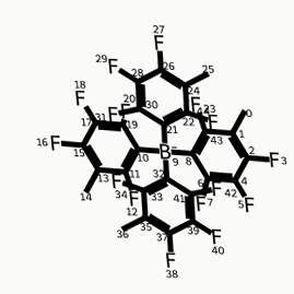 Cc1c(F)c(F)c(F)c([B-](c2c(F)c(C)c(F)c(F)c2F)(c2c(F)c(C)c(F)c(F)c2F)c2c(F)c(C)c(F)c(F)c2F)c1F